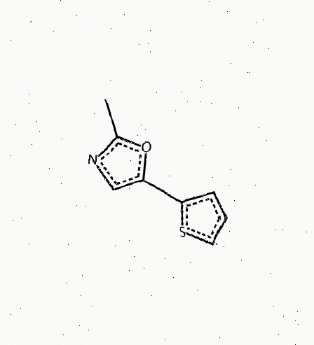 Cc1ncc(-c2cc[c]s2)o1